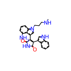 CNCCCn1cc(C2=C(c3c[nH]c4ccccc34)C(=O)NC2=O)c2c(N)cccc21